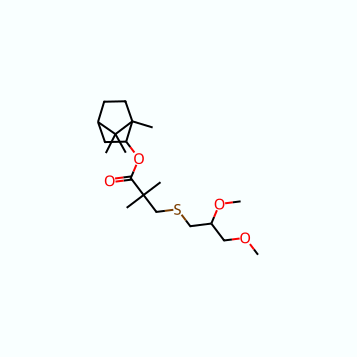 COCC(CSCC(C)(C)C(=O)OC1CC2CCC1(C)C2(C)C)OC